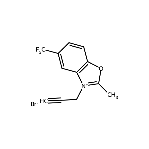 C#CC[n+]1c(C)oc2ccc(C(F)(F)F)cc21.[Br-]